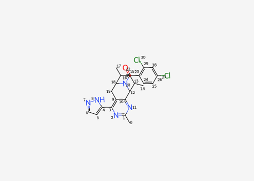 Cc1nc(-c2ccn[nH]2)c2c(n1)C1C(C)CC(C)C(C2)N1C(=O)c1ccc(Cl)cc1Cl